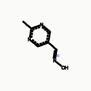 Cc1ncc(/C=N/O)cn1